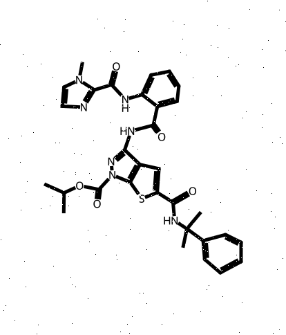 CC(C)OC(=O)n1nc(NC(=O)c2ccccc2NC(=O)c2nccn2C)c2cc(C(=O)NC(C)(C)c3ccccc3)sc21